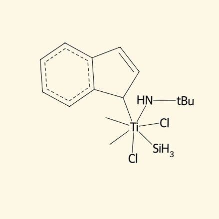 CC(C)(C)[NH][Ti]([CH3])([CH3])([SiH3])([Cl])([Cl])[CH]1C=Cc2ccccc21